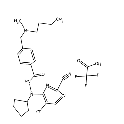 CCCCN(C)Cc1ccc(C(=O)NN(c2nc(C#N)ncc2Cl)C2CCCC2)cc1.O=C(O)C(F)(F)F